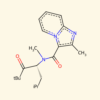 Cc1nc2ccccn2c1C(=O)N(C)[C@H](CC(C)C)C(=O)C(C)(C)C